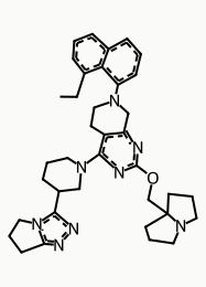 CCc1cccc2cccc(N3CCc4c(nc(OCC56CCCN5CCC6)nc4N4CCCC(c5nnc6n5CCC6)C4)C3)c12